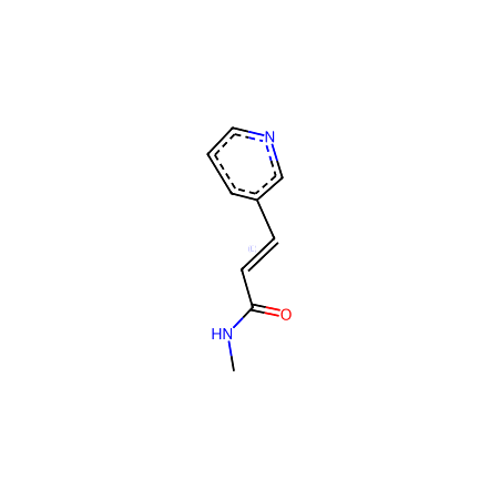 CNC(=O)/C=C/c1cccnc1